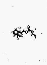 CCC[C@@H](C)C(=O)OCC(=O)[C@]1(C)CC=CC1(C)C